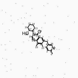 Cc1ccc(Cc2cc3c(=O)n([C@@H]4CCCC[C@H]4O)cnc3c(C)c2C)cn1